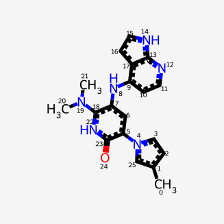 Cc1ccn(-c2cc(Nc3ccnc4[nH]ccc34)c(N(C)C)[nH]c2=O)c1